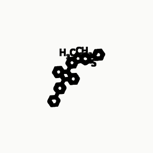 CC1(C)c2ccc(-c3c4ccccc4c(-c4ccc(C5=CC=CCC5)cc4)c4ccccc34)cc2-c2cc3sc4ccccc4c3cc21